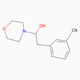 N#Cc1cccc(CC(O)N2CCOCC2)c1